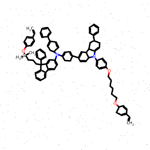 C=CC1=CCC(OCCCCCCOc2ccc(N3C4=CCC(c5ccccc5)CC4C4C=C(C5=CC=C(N(c6ccc7c(c6)C(CCC[Si](C)(C)Oc6ccc(C=C)cc6)(c6ccccc6)c6ccccc6-7)C6C=CC(c7ccccc7)=CC6)CC5)C=CC43)cc2)C=C1